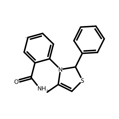 CC1=CSC(c2ccccc2)N1c1cc[c]cc1C(N)=O